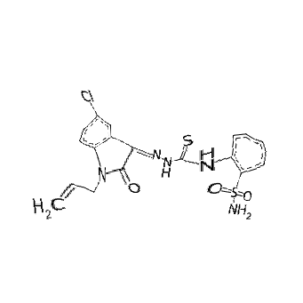 C=CCN1C(=O)C(=NNC(=S)Nc2ccccc2S(N)(=O)=O)c2cc(Cl)ccc21